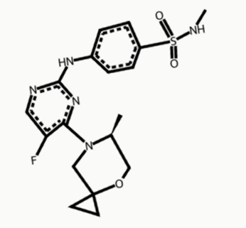 CNS(=O)(=O)c1ccc(Nc2ncc(F)c(N3CC4(CC4)OC[C@@H]3C)n2)cc1